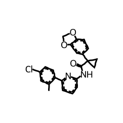 Cc1cc(Cl)ccc1-c1cccc(NC(=O)C2(c3ccc4c(c3)OCO4)CC2)n1